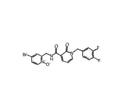 O=C(NCc1cc(Br)cc[n+]1[O-])c1cccn(Cc2ccc(F)c(F)c2)c1=O